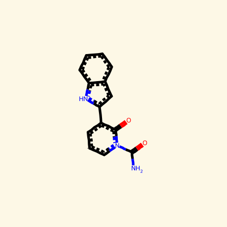 NC(=O)n1c[c]cc(-c2cc3ccccc3[nH]2)c1=O